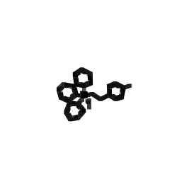 Cc1ccc(CCP(I)(c2ccccc2)(c2ccccc2)c2ccccc2)cc1